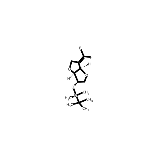 CC(C)(C)[Si](C)(C)O[C@@H]1CO[C@@H]2C(=C(F)F)CO[C@@H]21